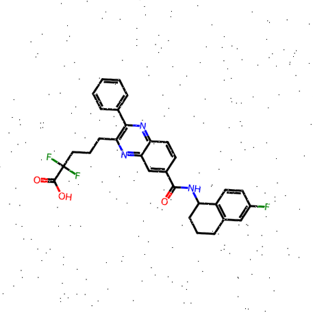 O=C(NC1CCCc2cc(F)ccc21)c1ccc2nc(-c3ccccc3)c(CCCC(F)(F)C(=O)O)nc2c1